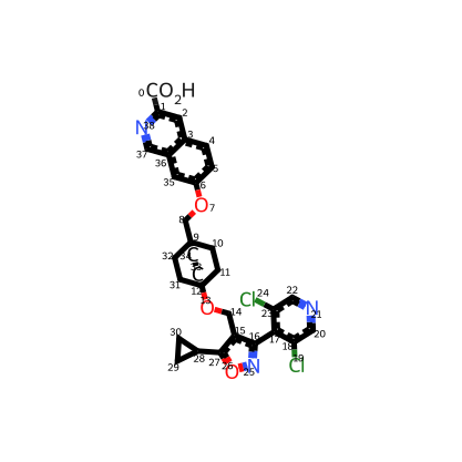 O=C(O)c1cc2ccc(OCC34CCC(OCc5c(-c6c(Cl)cncc6Cl)noc5C5CC5)(CC3)CC4)cc2cn1